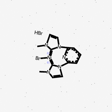 Br.CN1C=CN2/[C]1=[Ni](/[Br])=[C]1/N(C)C=CN1c1cccc2n1